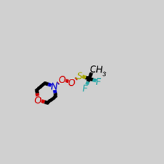 CC(F)(F)SOON1CCOCC1